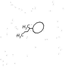 [CH2]CCC(C)C1CCCCCCCCCC1